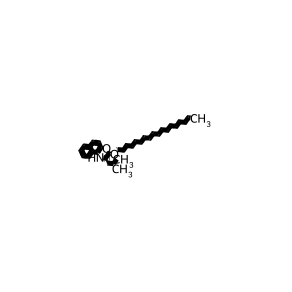 CCCCCCCCCCCCCCCCCCOC(=O)[C@@H](CC(C)C)Nc1cccc2ccccc12